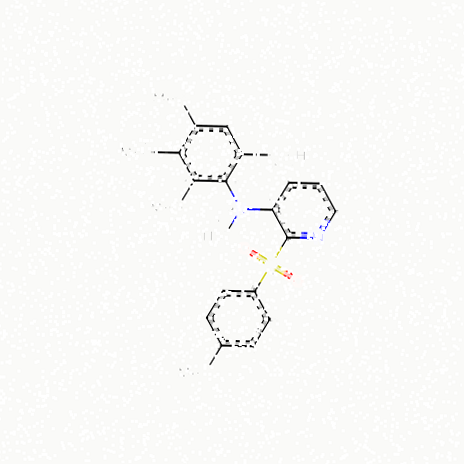 COc1ccc(S(=O)(=O)c2ncccc2N(C)c2c(C(=O)O)cc(OC)c(OC)c2OC)cc1